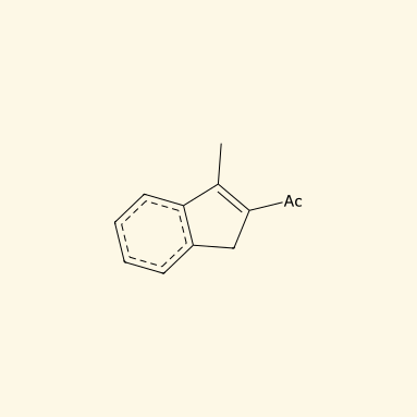 CC(=O)C1=C(C)c2ccccc2C1